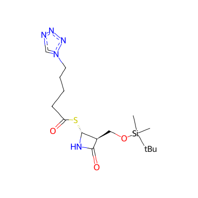 CC(C)(C)[Si](C)(C)OC[C@H]1C(=O)N[C@@H]1SC(=O)CCCCn1cnnn1